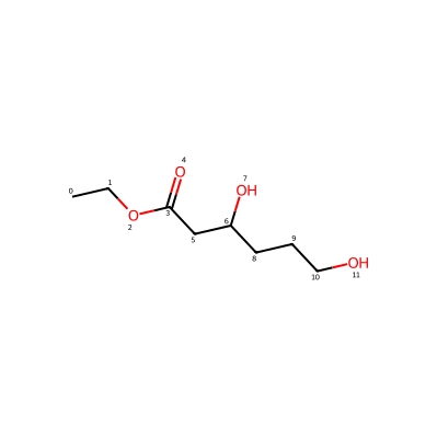 CCOC(=O)CC(O)CCCO